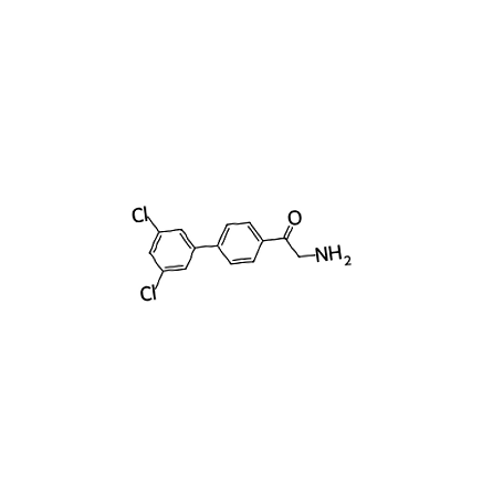 NCC(=O)c1ccc(-c2cc(Cl)cc(Cl)c2)cc1